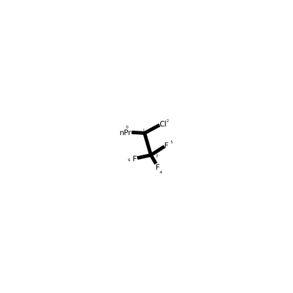 CCCC(Cl)C(F)(F)F